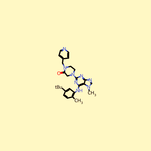 Cc1ccc(C(C)(C)C)cc1Nc1nc(N2CCN(Cc3ccncc3)C(=O)C2)nc2ncn(C)c12